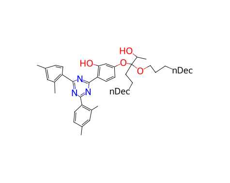 CCCCCCCCCCCCCOC(CCCCCCCCCCCC)(Oc1ccc(-c2nc(-c3ccc(C)cc3C)nc(-c3ccc(C)cc3C)n2)c(O)c1)C(C)O